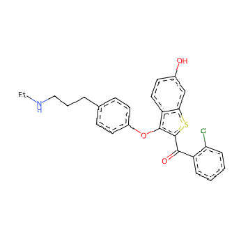 CCNCCCc1ccc(Oc2c(C(=O)c3ccccc3Cl)sc3cc(O)ccc23)cc1